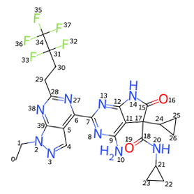 CCn1ncc2c(-c3nc(N)c4c(n3)NC(=O)C4(C(=O)NC3CC3)C3CC3)nc(CCC(F)(F)C(F)(F)F)nc21